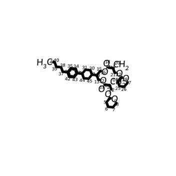 C=C(COC1CCCCO1)C(=O)OCC(COC(=O)C(=C)COC1CCCCO1)C1CCC(c2ccc(CCCCC)cc2)CC1